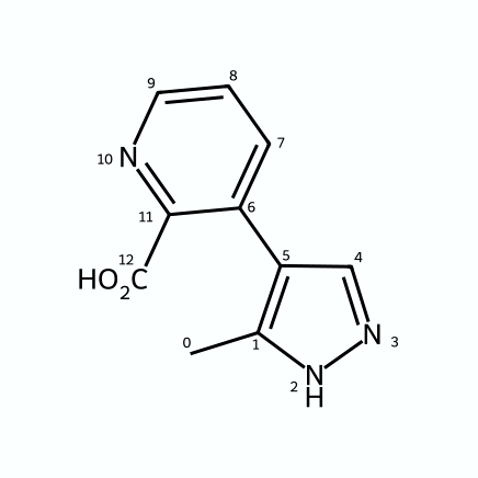 Cc1[nH]ncc1-c1cccnc1C(=O)O